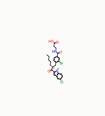 CCCCC[C@@H](Cc1ccc(C(=O)NCCC(=O)O)cc1Br)C(=O)c1cc2cc(Cl)ccc2n1C